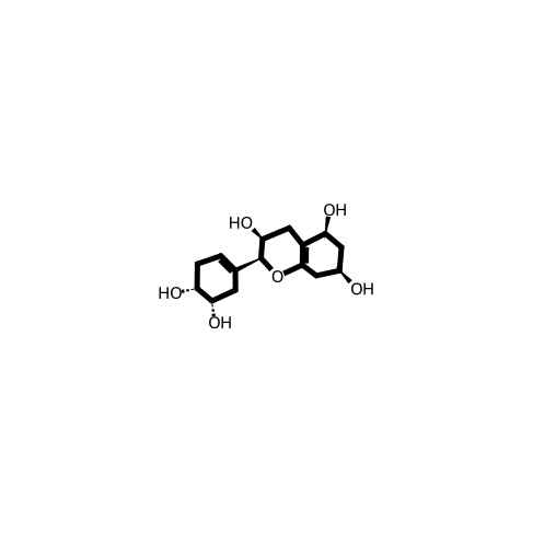 O[C@H]1CC2=C(C[C@H](O)[C@H](C3=CC[C@@H](O)[C@@H](O)C3)O2)[C@@H](O)C1